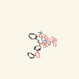 C[C@H]([C@H](CCc1ccccc1)c1ccc(Oc2ccccc2)cc1)N(CC(=O)OC(C)(C)C)C(=O)C1(C(=O)O)OC[C@H](C(=O)O)O1